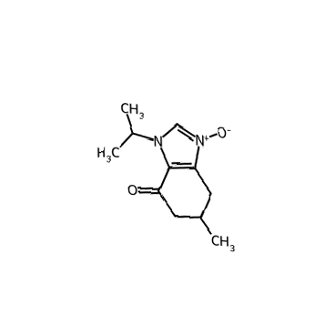 CC1CC(=O)c2c([n+]([O-])cn2C(C)C)C1